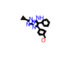 CNc1c(-c2ccccc2)c(-c2ccc(C=O)cc2)nc2nc(C3CC3)nn12